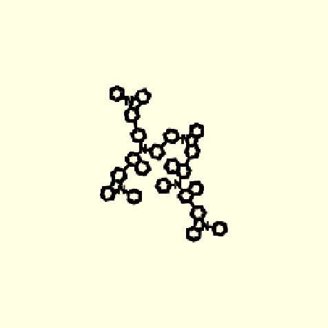 c1ccc(N(c2ccc(-c3ccc4c(c3)c3ccccc3n4-c3ccccc3)c3ccccc23)c2ccc(-c3ccc4c5ccccc5n(-c5cccc(-c6cccc(N(c7ccc(-c8ccc9c(c8)c8ccccc8n9-c8ccccc8)cc7)c7ccc(-c8ccc9c%10ccccc%10n(-c%10ccccc%10)c9c8)c8ccccc78)c6)c5)c4c3)c3ccccc23)cc1